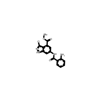 CC(C)(C)OC(=O)c1cc(NC(=O)c2ccccc2N)cc2[nH]nc(Cl)c12